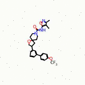 Cc1noc(NC(=O)N2CCC3(CC2)CC(c2cccc(-c4ccc(OC(F)(F)F)cc4)c2)CO3)c1C